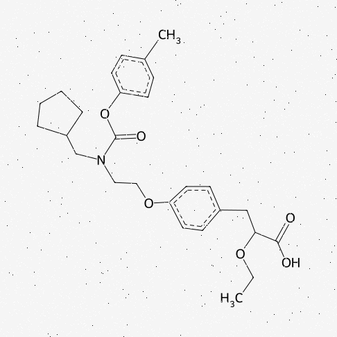 CCOC(Cc1ccc(OCCN(CC2CCCC2)C(=O)Oc2ccc(C)cc2)cc1)C(=O)O